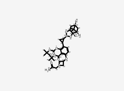 CC(C)(C)OC(=O)Oc1c(C2CC2B2OC3C[C@@H]4C[C@@H](C4(C)C)[C@]3(C)O2)ccc(OC2CN(CC(N)=O)C2)c1C(=O)OC(C)(C)C